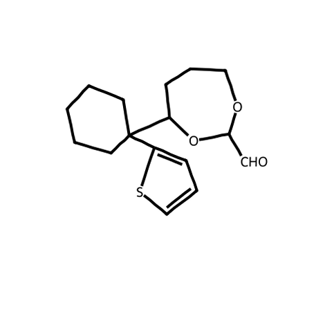 O=CC1OCCCC(C2(c3cccs3)CCCCC2)O1